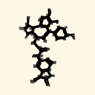 Cc1sc2c(c1C)C(c1ccc(Cl)cc1)=N[C@@H](CC(=O)Nc1ccc3c(c1)C(=O)NC3)c1nnc(C)n1-2